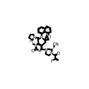 C=C(F)C(=O)N1CCN(c2nc(=O)n(C[C@@H]3CCCN3C)c3c2CC2(CC2)N(c2cccc4cccc(Cl)c24)C3)C[C@@H]1CC#N